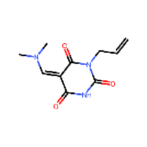 C=CCN1C(=O)NC(=O)C(=CN(C)C)C1=O